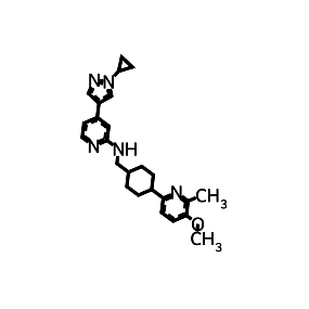 COc1ccc(C2CCC(CNc3cc(-c4cnn(C5CC5)c4)ccn3)CC2)nc1C